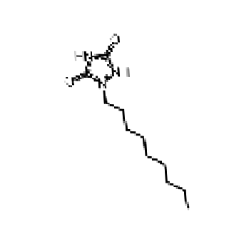 CCCCCCCCCn1[nH]c(=O)[nH]c1=O